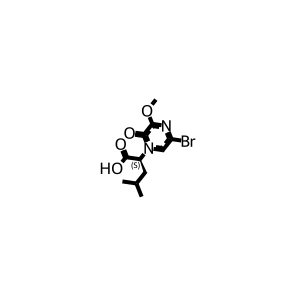 COc1nc(Br)cn([C@@H](CC(C)C)C(=O)O)c1=O